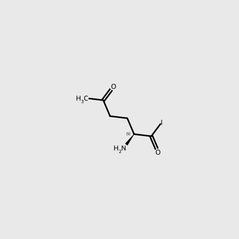 CC(=O)CC[C@H](N)C(=O)I